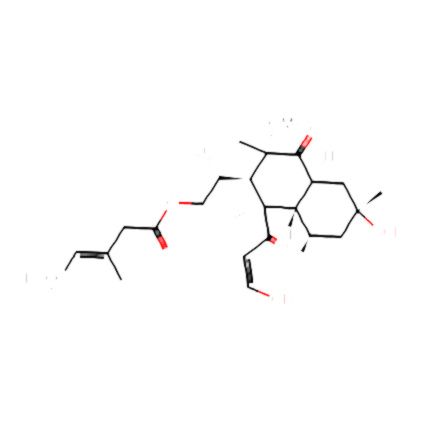 CC[C@@H](COC(=O)C/C(C)=C/C(=O)O)[C@@H]1[C@](C)(C(=O)/C=C\O)[C@H]2[C@H](C)C[C@@](C)(O)C[C@@H]2C(=O)[C@@]1(C)OC